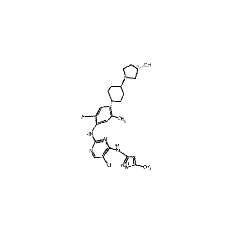 Cc1cc(Nc2nc(Nc3cc(C)c([C@H]4CC[C@H](N5CC[C@H](O)C5)CC4)cc3F)ncc2Cl)n[nH]1